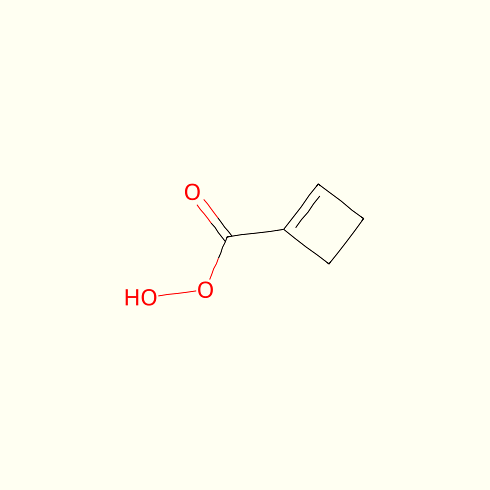 O=C(OO)C1=CCC1